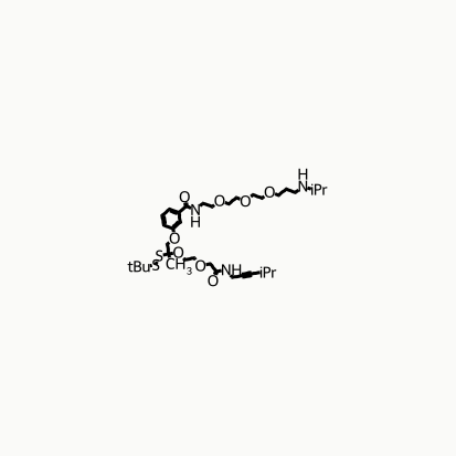 CC(C)C#CCNC(=O)COCCOC(C)(COc1cccc(C(=O)NCCOCCOCCOCCCNC(C)C)c1)SSC(C)(C)C